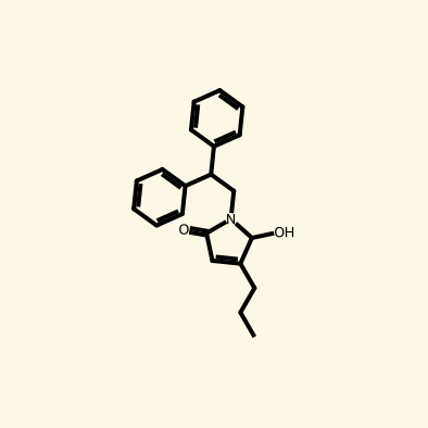 CCCC1=CC(=O)N(CC(c2ccccc2)c2ccccc2)C1O